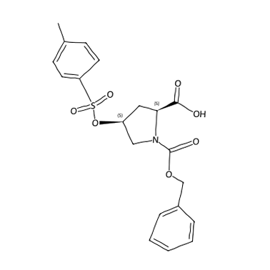 Cc1ccc(S(=O)(=O)O[C@H]2C[C@@H](C(=O)O)N(C(=O)OCc3ccccc3)C2)cc1